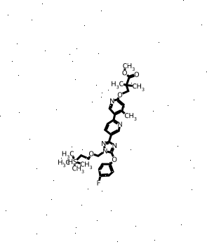 COC(=O)C(C)(C)COc1cc(C)c(-c2ccc(-c3nc(Oc4ccc(F)cc4)n(COCC[SH](C)(C)(C)C)n3)cn2)cn1